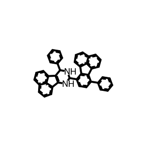 c1ccc(-c2ccc(C3NC4=C(c5cccc6cccc4c56)C(c4ccccc4)N3)c3c2-c2cccc4cccc-3c24)cc1